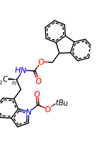 CC(C)(C)OC(=O)n1ccc2cccc(C[C@H](NC(=O)OCC3c4ccccc4-c4ccccc43)C(=O)O)c21